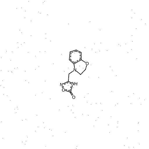 O=c1[nH]c(CN2CCOc3ccccc32)no1